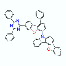 c1ccc(-c2nc(-c3ccccc3)nc(-c3ccc4c(c3)oc3c(-n5c6ccccc6c6c7oc8ccccc8c7ccc65)ccc(-c5ccccc5)c34)n2)cc1